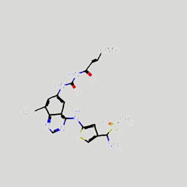 CO/C=C/C(=O)NC(=O)Nc1cc(C(C)(C)C)c2ncnc(Nc3cc(C(N)S(C)(=O)=O)cs3)c2c1